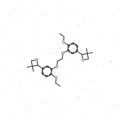 CCOc1ccc(C2OCC2(C)C)cc1OCCOc1cc(C2OCC2(C)C)ccc1OCC